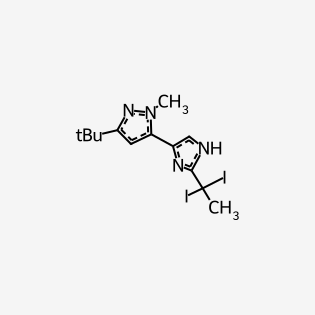 Cn1nc(C(C)(C)C)cc1-c1c[nH]c(C(C)(I)I)n1